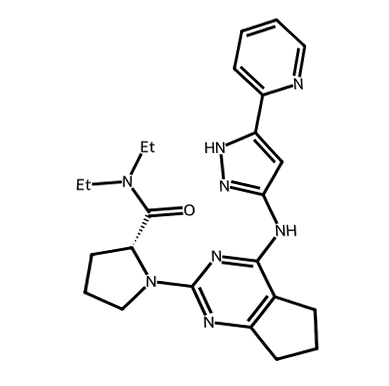 CCN(CC)C(=O)[C@H]1CCCN1c1nc2c(c(Nc3cc(-c4ccccn4)[nH]n3)n1)CCC2